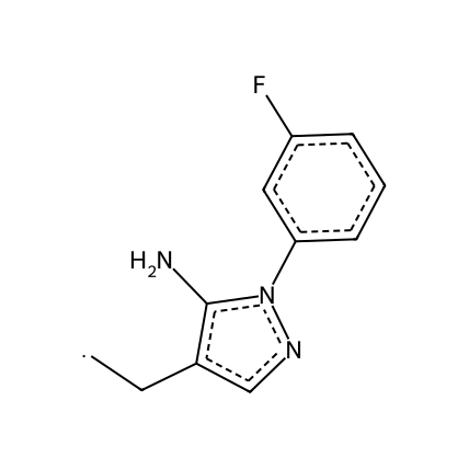 [CH2]Cc1cnn(-c2cccc(F)c2)c1N